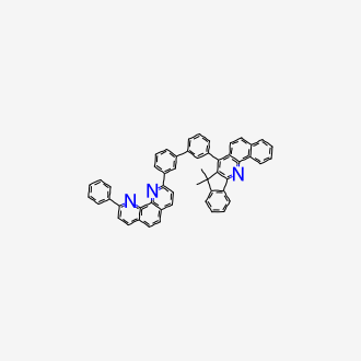 CC1(C)c2ccccc2-c2nc3c(ccc4ccccc43)c(-c3cccc(-c4cccc(-c5ccc6ccc7ccc(-c8ccccc8)nc7c6n5)c4)c3)c21